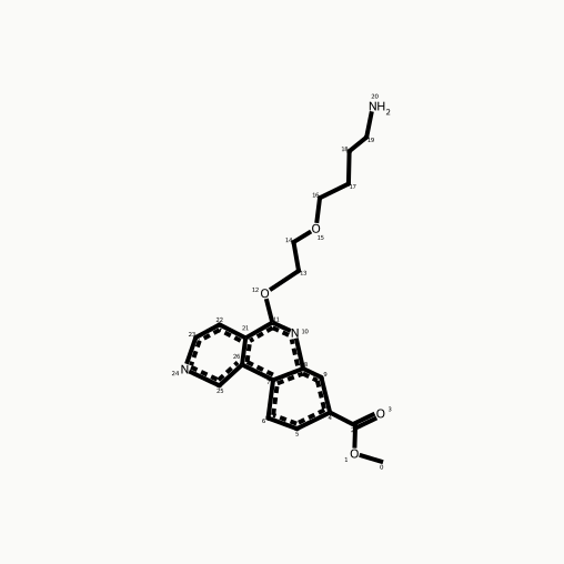 COC(=O)c1ccc2c(c1)nc(OCCOCCCCN)c1ccncc12